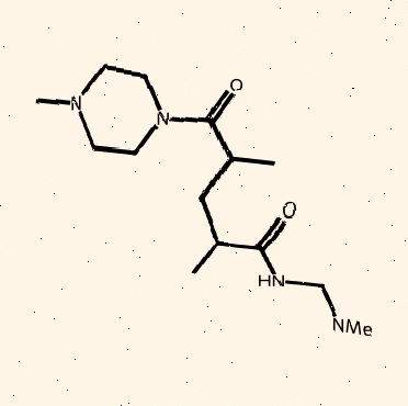 CNCNC(=O)C(C)CC(C)C(=O)N1CCN(C)CC1